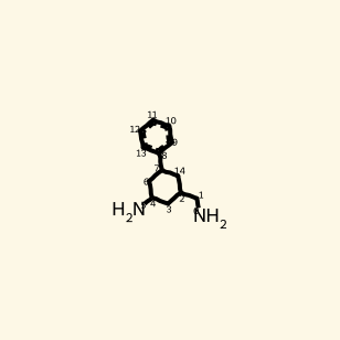 NCC1CC(N)CC(c2ccccc2)C1